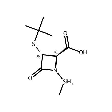 C[SiH2]N1C(=O)[C@H](SC(C)(C)C)[C@H]1C(=O)O